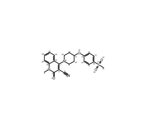 Cn1c(=O)c(C#N)c(N2CCC(Oc3ccc(S(C)(=O)=O)cc3)CC2)c2ccccc21